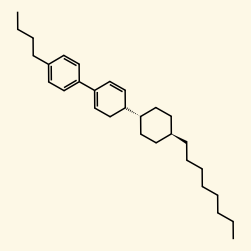 CCCCCCCC[C@H]1CC[C@H](C2C=CC(c3ccc(CCCC)cc3)=CC2)CC1